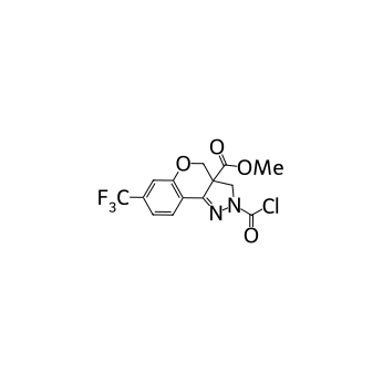 COC(=O)C12COc3cc(C(F)(F)F)ccc3C1=NN(C(=O)Cl)C2